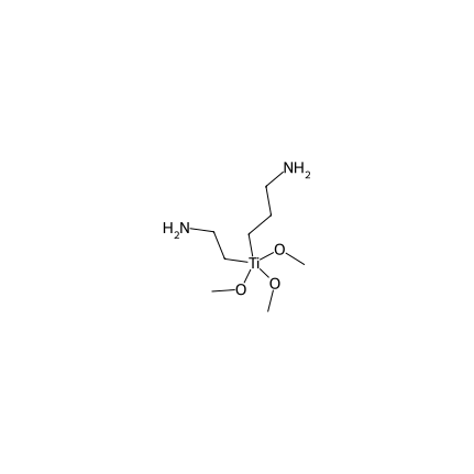 C[O][Ti]([CH2]CN)([CH2]CCN)([O]C)[O]C